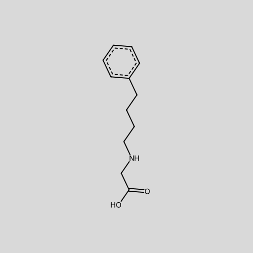 O=C(O)CNCCCCc1ccccc1